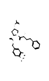 Cn1nnc2cc(CNC(=O)[C@@H]3C[C@H](NC(=O)O)CN3C(=O)[C@H](N)CCc3ccccc3)ccc21